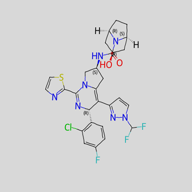 O=C(N[C@H]1CC2=C(c3ccn(C(F)F)n3)[C@H](c3ccc(F)cc3Cl)N=C(c3nccs3)N2C1)N1[C@@H]2CC[C@H]1C[C@@H](O)C2